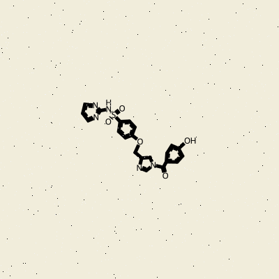 O=C(c1ccc(O)cc1)N1C=NC(COc2ccc(S(=O)(=O)Nc3ncccn3)cc2)C1